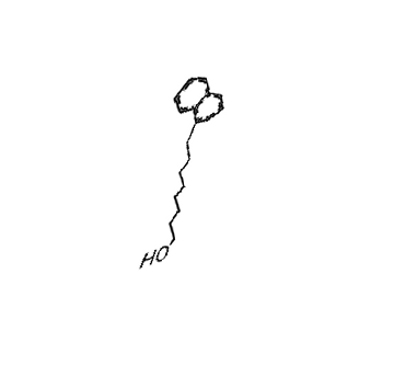 OCCCCCCCCc1cccc2ccccc12